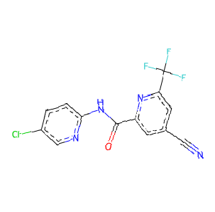 N#Cc1cc(C(=O)Nc2ccc(Cl)cn2)nc(C(F)(F)F)c1